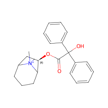 C[N+]1(C)C2CCCC1[C@H](OC(=O)C(O)(c1ccccc1)c1ccccc1)C2